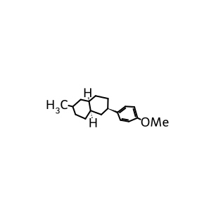 COc1ccc([C@@H]2CC[C@@H]3CC(C)CC[C@@H]3C2)cc1